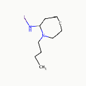 CCCCN1CCCCCC1NI